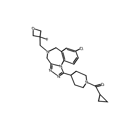 O=C(C1CC1)N1CCC(c2nnc3n2-c2ccc(Cl)cc2CN(CC2(F)COC2)C3)CC1